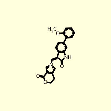 COc1ccccc1-c1ccc2c(c1)NC(=O)C2=Cn1cc2c(c1)C(=O)OCC2